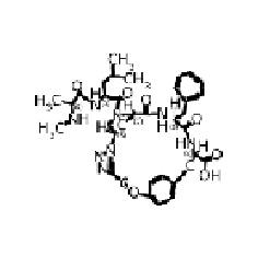 CN[C@@H](C)C(=O)N[C@@H](CC(C)C)C(=O)N1C[C@@H]2C[C@H]1C(=O)N[C@@H](Cc1ccccc1)C(=O)N[C@H](C(=O)O)Cc1ccc(cc1)OCc1cn2nn1